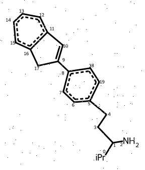 CC(C)C(N)CCc1ccc(C2=Cc3ccccc3C2)cc1